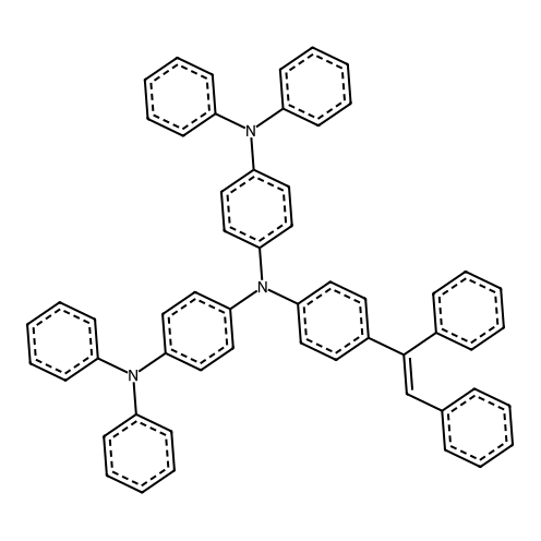 C(=C(/c1ccccc1)c1ccc(N(c2ccc(N(c3ccccc3)c3ccccc3)cc2)c2ccc(N(c3ccccc3)c3ccccc3)cc2)cc1)/c1ccccc1